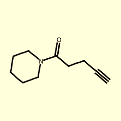 C#CCCC(=O)N1CCCCC1